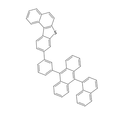 c1cc(-c2ccc3c(c2)sc2ccc4ccccc4c23)cc(-c2c3ccccc3c(-c3cccc4ccccc34)c3ccccc23)c1